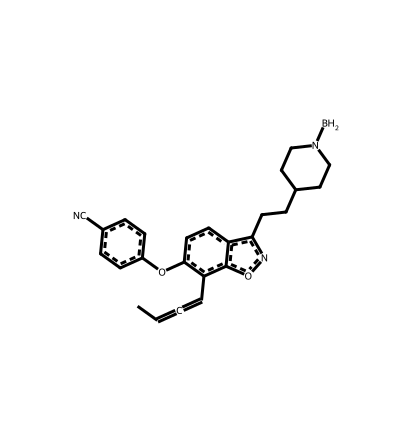 BN1CCC(CCc2noc3c(C=C=CC)c(Oc4ccc(C#N)cc4)ccc23)CC1